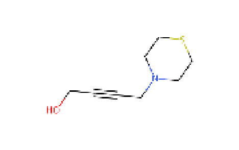 OCC#CCN1CCSCC1